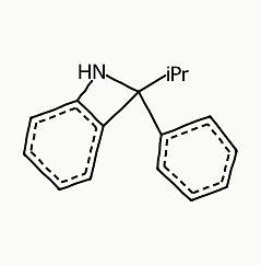 CC(C)C1(c2ccccc2)Nc2ccccc21